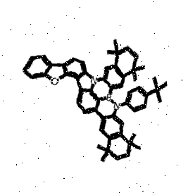 CC(C)(C)c1ccc(N2B3c4cc5c(cc4-n4c6ccc7c8ccccc8oc7c6c6ccc(c3c64)-c3cc4c(cc32)C(C)(C)CCC4(C)C)C(C)(C)CCC5(C)C)cc1